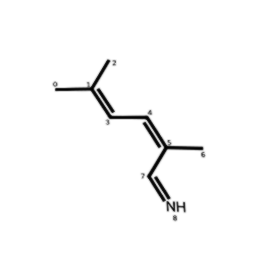 CC(C)=C/C=C(/C)C=N